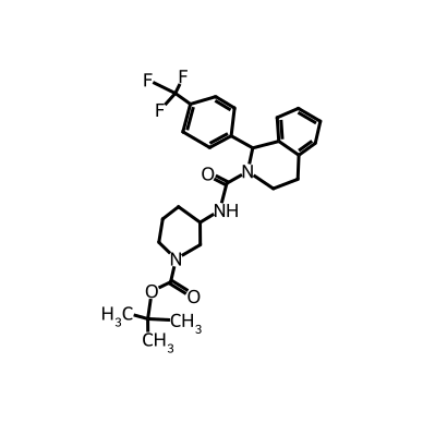 CC(C)(C)OC(=O)N1CCCC(NC(=O)N2CCc3ccccc3C2c2ccc(C(F)(F)F)cc2)C1